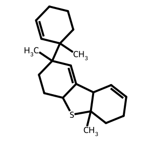 CC12CCC=CC1C1=CC(C)(C3(C)C=CCCC3)CCC1S2